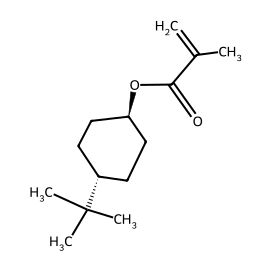 C=C(C)C(=O)O[C@H]1CC[C@H](C(C)(C)C)CC1